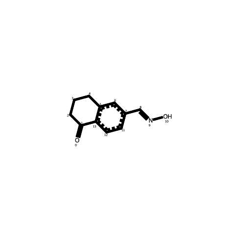 O=C1CCCc2cc(C=NO)ccc21